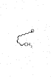 CC/C=C\C/C=C\C/C=C\CCCCCCC=O